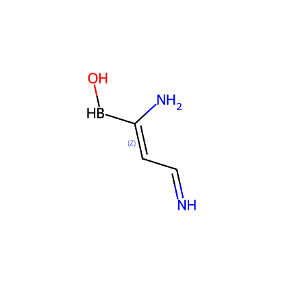 N=C/C=C(\N)BO